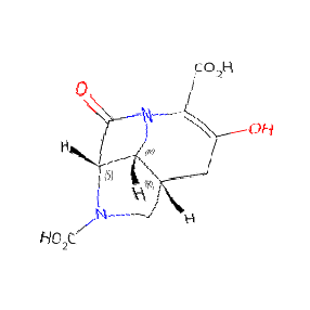 O=C(O)C1=C(O)C[C@@H]2CN(C(=O)O)[C@@H]3C(=O)N1[C@H]23